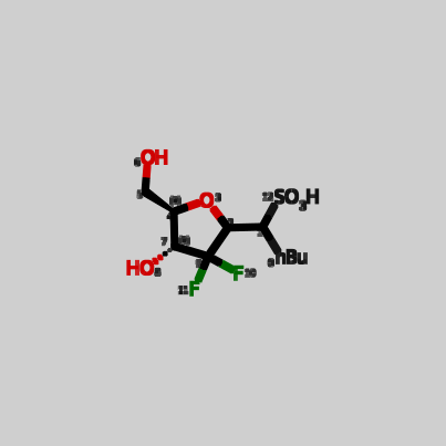 CCCCC(C1O[C@H](CO)[C@@H](O)C1(F)F)S(=O)(=O)O